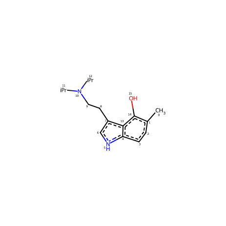 Cc1ccc2[nH]cc(CCN(C(C)C)C(C)C)c2c1O